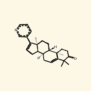 CC1(C)C(=O)CC[C@@]2(C)C1=CC[C@H]1C3CC=C(c4cccnc4)[C@@]3(C)CC[C@@H]12